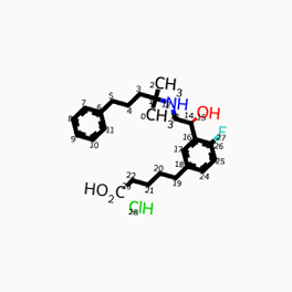 CC(C)(CCCc1ccccc1)NC[C@@H](O)c1cc(CCCCC(=O)O)ccc1F.Cl